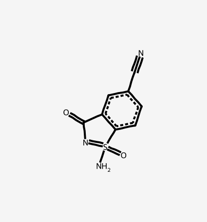 N#Cc1ccc2c(c1)C(=O)N=S2(N)=O